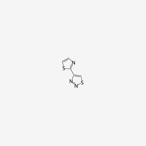 c1csc(-c2csnn2)n1